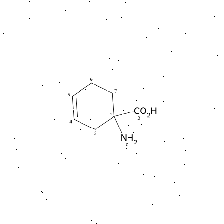 NC1(C(=O)O)CC=CCC1